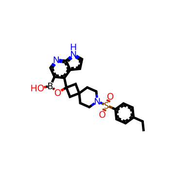 CCc1ccc(S(=O)(=O)N2CCC3(CC2)CC2(C3)OB(O)c3cnc4[nH]ccc4c32)cc1